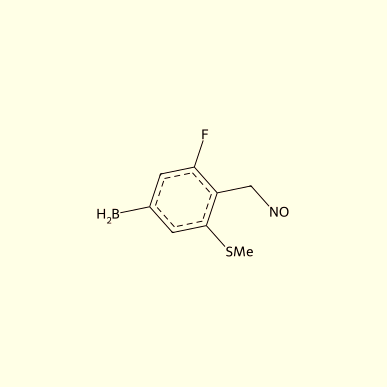 Bc1cc(F)c(CN=O)c(SC)c1